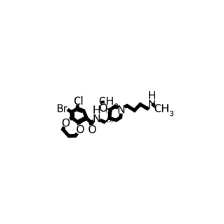 CNCCCCN1CC[C@@H](CNC(=O)c2cc(Cl)c(Br)c3c2OCCCO3)[C@H](OC)C1